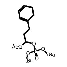 CC(=O)OC(CCC1=CC=CCC1)OP(=O)(OC(C)(C)C)OC(C)(C)C